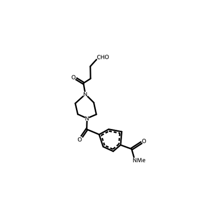 CNC(=O)c1ccc(C(=O)N2CCN(C(=O)CCC=O)CC2)cc1